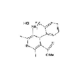 COC(=O)C1=C(C)NC(C)=C(N)C1c1ccccc1C(F)(F)F.Cl